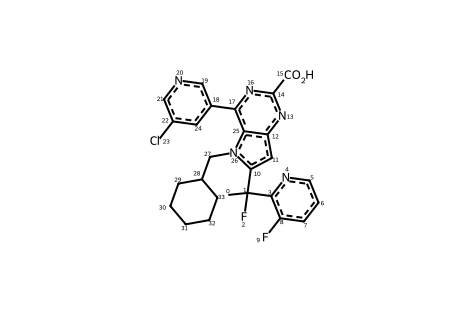 CC(F)(c1ncccc1F)c1cc2nc(C(=O)O)nc(-c3cncc(Cl)c3)c2n1CC1CCCCC1